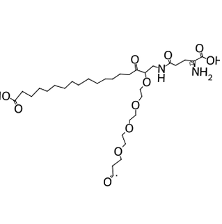 N[C@@H](CCC(=O)NCC(OCCOCCOCCOCC[C]=O)C(=O)CCCCCCCCCCCCCCC(=O)O)C(=O)O